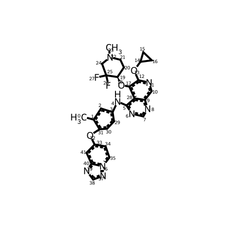 Cc1cc(Nc2ncnc3cnc(OC4CC4)c(O[C@@H]4CCN(C)CC4(F)F)c23)ccc1Oc1ccn2ncnc2c1